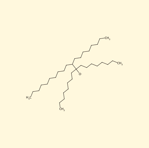 CCCCCCCCCCC(CCCCCCCC)C([O])(CCCCCCCC)CCCCCCCC